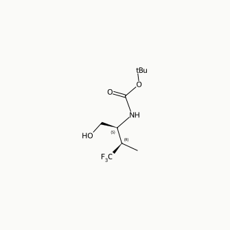 C[C@H]([C@@H](CO)NC(=O)OC(C)(C)C)C(F)(F)F